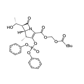 C[C@@H](O)[C@H]1C(=O)N2C(C(=O)OCOC(=O)C(C)(C)C)=C(OP(=O)(Oc3ccccc3)Oc3ccccc3)[C@H](C)[C@H]12